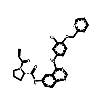 C=CC(=O)N1CCC[C@H]1C(=O)Nc1ccc2ncnc(Nc3ccc(OCc4ccccn4)c(Cl)c3)c2c1